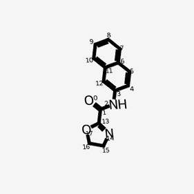 O=C(Nc1ccc2ccccc2c1)C1=NCCO1